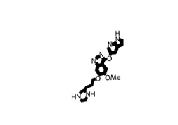 COc1cc2c(Oc3cnc4[nH]ccc4c3)ncnc2cc1OCCCC1CNCCN1